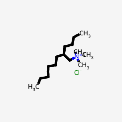 CCCCCCC(CCCC)C[N+](C)(C)C.[Cl-]